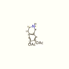 CC(=O)Oc1cc2c(cc1OC(C)=O)CN(C)CC2